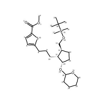 COC(=O)c1ccc(CCC[C@@H]2[C@@H](CO[Si](C)(C)C(C)(C)C)CC[C@@H]2OC2CCCCO2)s1